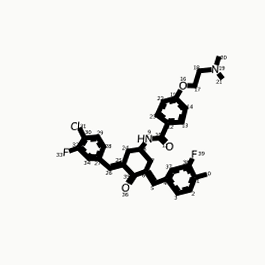 Cc1ccc(/C=C2\CC(NC(=O)c3ccc(OCCN(C)C)cc3)C/C(=C\c3ccc(Cl)c(F)c3)C2=O)cc1F